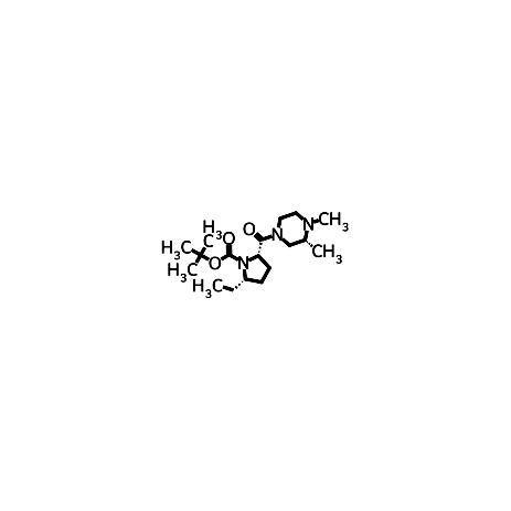 CC[C@H]1CC[C@@H](C(=O)N2CCN(C)[C@H](C)C2)N1C(=O)OC(C)(C)C